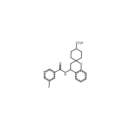 CCOC(=O)N1CCC2(CC1)CC(NC(=O)c1cncc(F)c1)c1ccccc1O2